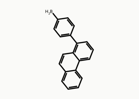 Bc1ccc(-c2cccc3c2ccc2ccccc23)cc1